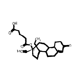 C#C[C@]1(OC(=O)CCCC(=O)O)CCC2C3CCC4=CC(=O)CCC4C3CCC21CC